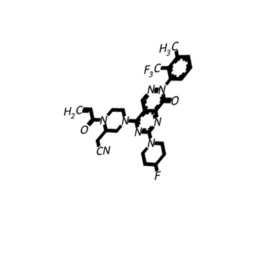 C=CC(=O)N1CCN(c2nc(N3CCC(F)CC3)nc3c(=O)n(-c4cccc(C)c4C(F)(F)F)ncc23)CC1CC#N